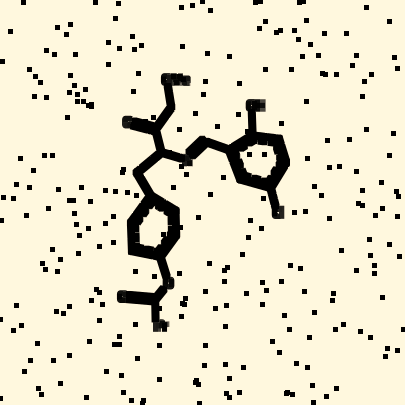 COCC(=O)C(Cc1ccc(OC(=O)C(C)C)cc1)N=Cc1cc(Cl)ccc1O